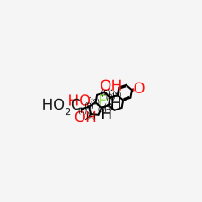 C[C@@H]1C[C@H]2[C@@H]3CCC4=CC(=O)C=C[C@]4(C)[C@@]3(F)[C@@H](O)C[C@]2(C)[C@@]1(O)[C@@H](O)C(=O)O